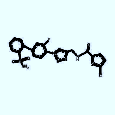 NS(=O)(=O)c1ccccc1-c1ccc(-n2cc(CNC(=O)c3ccc(Cl)s3)nn2)c(F)c1